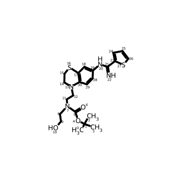 CC(C)(C)OC(=O)N(CCO)CCN1CCSc2cc(NC(=N)c3cccs3)ccc21